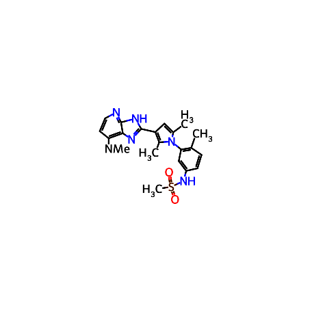 CNc1ccnc2[nH]c(-c3cc(C)n(-c4cc(NS(C)(=O)=O)ccc4C)c3C)nc12